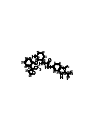 CN1c2ccc(NC(=O)NC3CCCNC3Oc3ccccc3C3(C(F)(F)F)CCO3)cc2NC1C(F)F